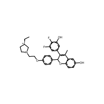 CC[C@@H]1CCN(CCOc2ccc(C3Oc4ccc(O)cc4C(C)=C3c3cc(O)c(F)c(F)c3)cc2)C1